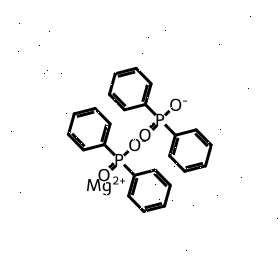 O=P([O-])(c1ccccc1)c1ccccc1.O=P([O-])(c1ccccc1)c1ccccc1.[Mg+2]